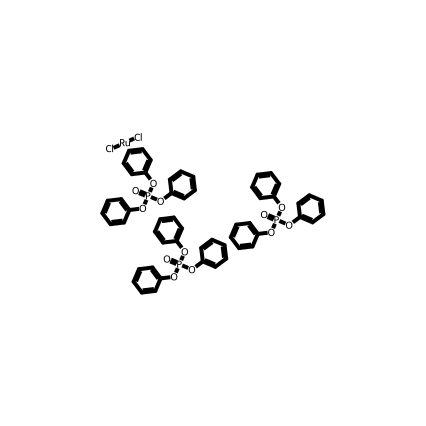 O=P(Oc1ccccc1)(Oc1ccccc1)Oc1ccccc1.O=P(Oc1ccccc1)(Oc1ccccc1)Oc1ccccc1.O=P(Oc1ccccc1)(Oc1ccccc1)Oc1ccccc1.[Cl][Ru][Cl]